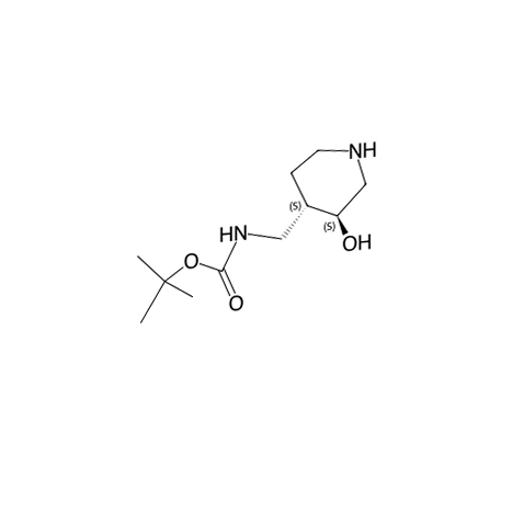 CC(C)(C)OC(=O)NC[C@@H]1CCNC[C@H]1O